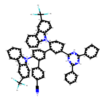 N#Cc1ccc(-c2cc(-c3cc(-c4nc(-c5ccccc5)nc(-c5ccccc5)n4)ccc3-n3c4ccccc4c4cc(C(F)(F)F)ccc43)ccc2-n2c3ccccc3c3cc(C(F)(F)F)ccc32)cc1